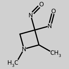 CC1N(C)CC1(N=O)N=O